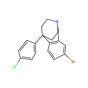 Clc1ccc(C23CCN(CC2)Cc2cc(Br)ccc23)cc1